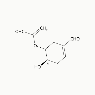 C=C(C=O)OC1CC(C=O)=CC[C@H]1O